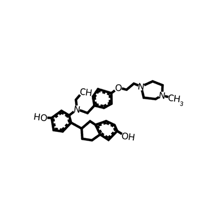 CCN(Cc1ccc(OCCN2CCN(C)CC2)cc1)c1cc(O)ccc1C1CCc2cc(O)ccc2C1